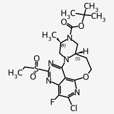 CCS(=O)(=O)c1nc2c3c(nc(Cl)c(F)c3n1)OCC[C@H]1CN(C(=O)OC(C)(C)C)[C@H](C)CN21